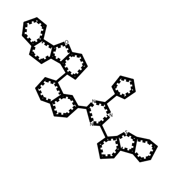 c1ccc(-c2nc(-c3ccc4cccc(-c5cccc6oc7c8ccccc8ccc7c56)c4c3)nc(-c3cccc4c3sc3ccccc34)n2)cc1